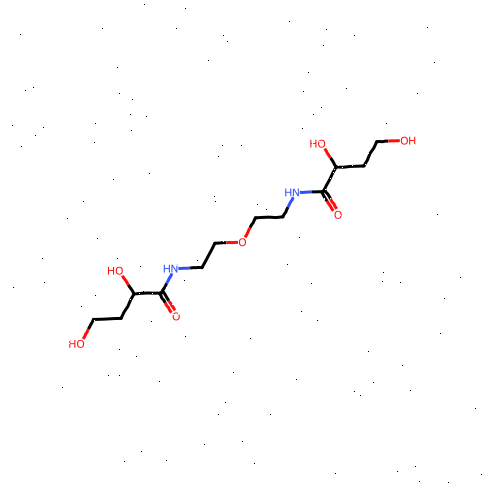 O=C(NCCOCCNC(=O)C(O)CCO)C(O)CCO